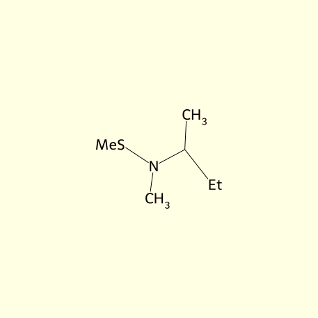 CCC(C)N(C)SC